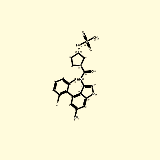 Cc1cc(-c2c(F)cccc2F)c2c(NC(=O)N3CC[C@H](NS(C)(=O)=O)C3)noc2c1